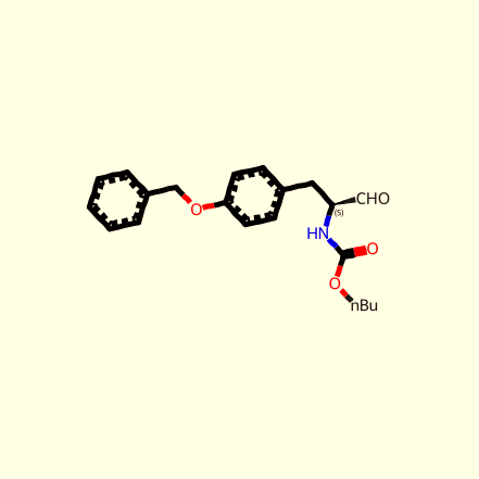 CCCCOC(=O)N[C@H](C=O)Cc1ccc(OCc2ccccc2)cc1